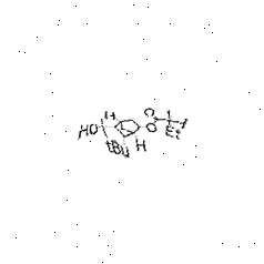 CCC(C)(I)C(=O)O[C@H]1C[C@H]2C[C@@H]1[C@H](C(C)(C)C)[C@@H]2C(C)(C)O